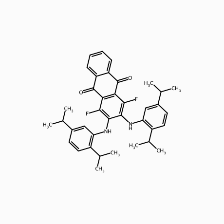 CC(C)c1ccc(C(C)C)c(Nc2c(F)c3c(c(F)c2Nc2cc(C(C)C)ccc2C(C)C)C(=O)c2ccccc2C3=O)c1